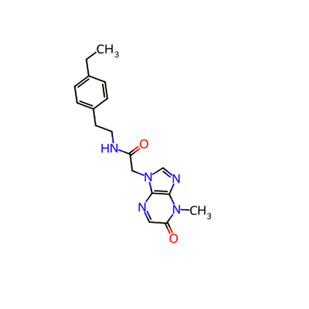 CCc1ccc(CCNC(=O)Cn2cnc3c2ncc(=O)n3C)cc1